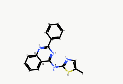 Cc1cnc(Nc2nc(-c3ccccc3)nc3ccccc23)s1